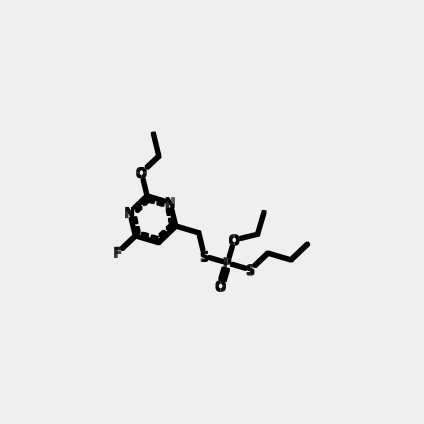 CCCSP(=O)(OCC)SCc1cc(F)nc(OCC)n1